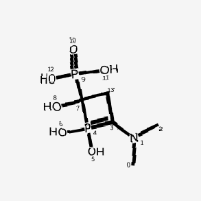 CN(C)C1=P(O)(O)C(O)(P(=O)(O)O)C1